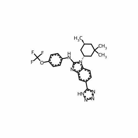 C[C@@H]1C[C@@H](n2c(Nc3ccc(OC(F)(F)F)cc3)nc3cc(-c4nnn[nH]4)ccc32)CC(C)(C)C1